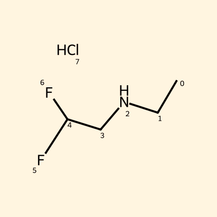 CCNCC(F)F.Cl